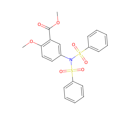 COC(=O)c1cc(N(S(=O)(=O)c2ccccc2)S(=O)(=O)c2ccccc2)ccc1OC